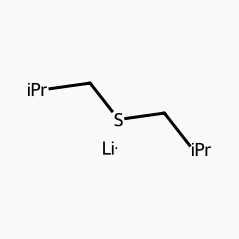 CC(C)CSCC(C)C.[Li]